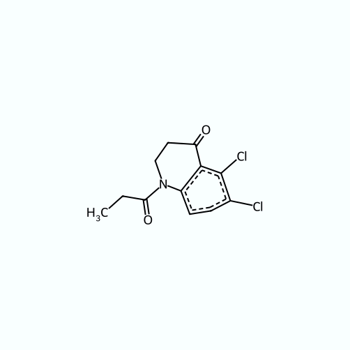 CCC(=O)N1CCC(=O)c2c1ccc(Cl)c2Cl